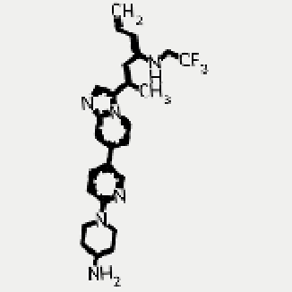 C=C/C=C(\C=C(/C)c1cnc2cc(-c3ccc(N4CCC(N)CC4)nc3)ccn12)NCC(F)(F)F